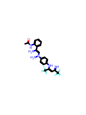 CC(=O)Nc1ccccc1/C(N)=C/N(N)c1ccc(N/C(=C\C(=N)C(F)(F)F)C(F)(F)F)cc1